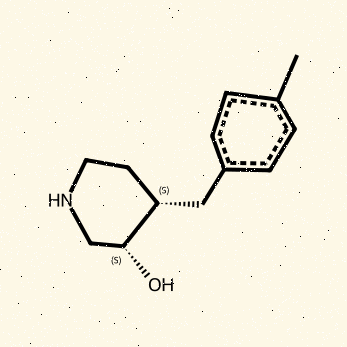 Cc1ccc(C[C@H]2CCNC[C@H]2O)cc1